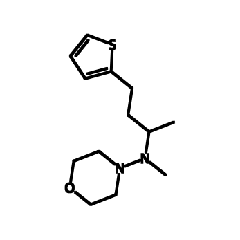 CC(CCc1cccs1)N(C)N1CCOCC1